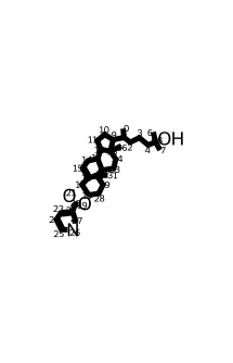 CC(CCCC(C)(C)O)C1CCC2C3CC=C4CC(OC(=O)c5cccnc5)CCC4(C)C3CCC12C